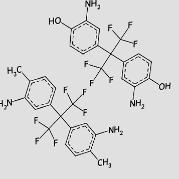 Cc1ccc(C(c2ccc(C)c(N)c2)(C(F)(F)F)C(F)(F)F)cc1N.Nc1cc(C(c2ccc(O)c(N)c2)(C(F)(F)F)C(F)(F)F)ccc1O